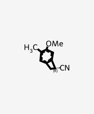 COc1cc2c(cc1C)C[C@H]2C#N